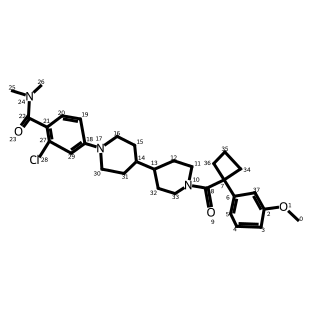 COc1cccc(C2(C(=O)N3CCC(C4CCN(c5ccc(C(=O)N(C)C)c(Cl)c5)CC4)CC3)CCC2)c1